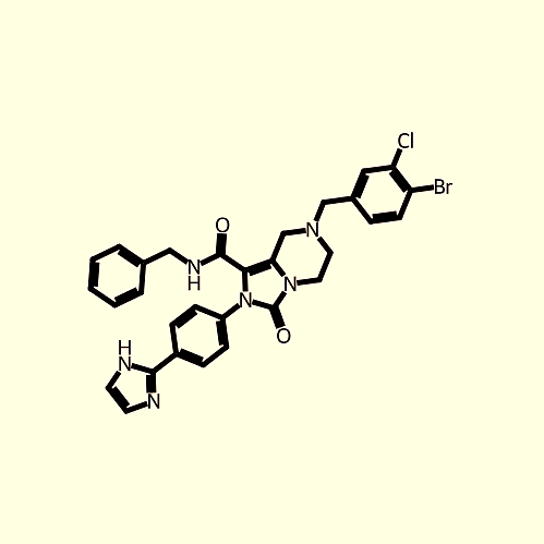 O=C(NCc1ccccc1)c1c2n(c(=O)n1-c1ccc(-c3ncc[nH]3)cc1)CCN(Cc1ccc(Br)c(Cl)c1)C2